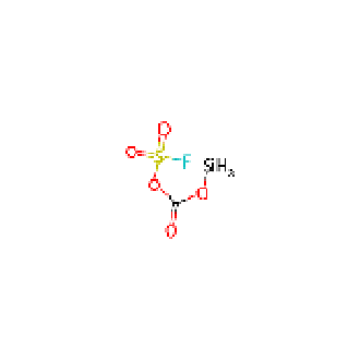 O=C(O[SiH3])OS(=O)(=O)F